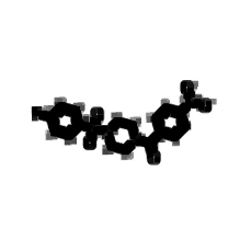 O=C(c1ccc([N+](=O)[O-])cc1)N1CCN(S(=O)(=O)c2ccc(F)cc2)CC1